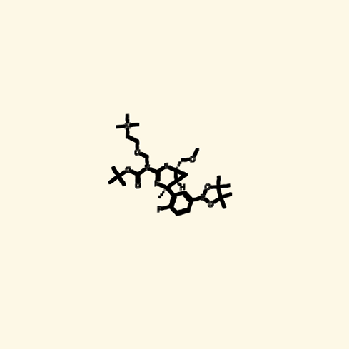 COC[C@]12C[C@H]1[C@@](C)(c1cc(B3OC(C)(C)C(C)(C)O3)ccc1F)N=C(N(COCC[Si](C)(C)C)C(=O)OC(C)(C)C)S2